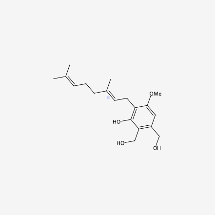 COc1cc(CO)c(CO)c(O)c1C/C=C(\C)CCC=C(C)C